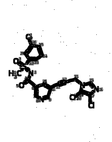 CS(=O)(=NC(=O)c1cncc(C#CCn2cnc(Cl)c2Cl)c1)c1cccc(Cl)c1